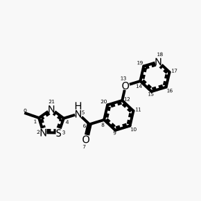 Cc1nsc(NC(=O)c2cccc(Oc3cccnc3)c2)n1